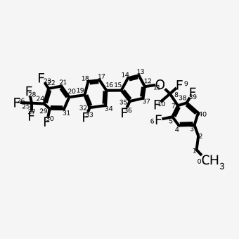 CCCc1cc(F)c(C(F)(F)Oc2ccc(-c3ccc(-c4cc(F)c(C(F)(F)F)c(F)c4)c(F)c3)c(F)c2)c(F)c1